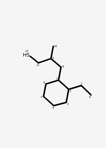 CCC1CCCCC1CC(C)CS